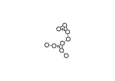 c1ccc(-c2ccc(-n3c4ccc(-c5ccccc5)cc4c4cc(-c5cccc(-c6ccc7c8cccc9c%10ccccc%10n(c7c6)c98)c5)ccc43)cc2)cc1